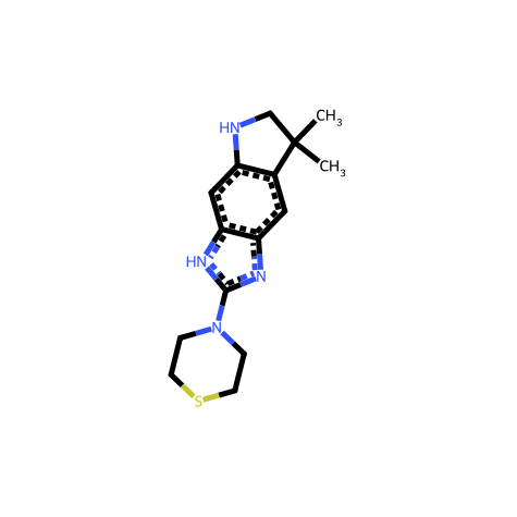 CC1(C)CNc2cc3[nH]c(N4CCSCC4)nc3cc21